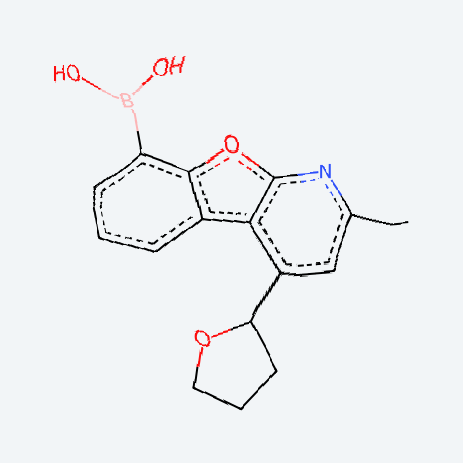 Cc1cc(C2CCCO2)c2c(n1)oc1c(B(O)O)cccc12